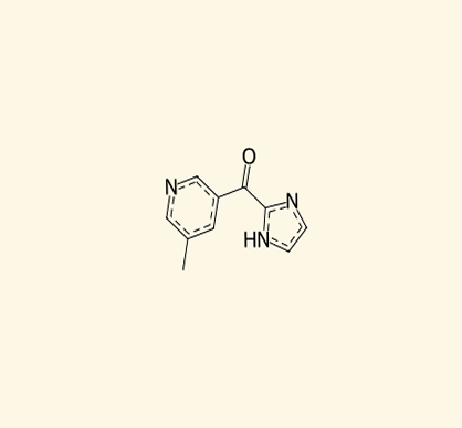 Cc1cncc(C(=O)c2ncc[nH]2)c1